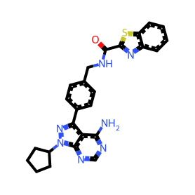 Nc1ncnc2c1c(-c1ccc(CNC(=O)c3nc4ccccc4s3)cc1)nn2C1CCCC1